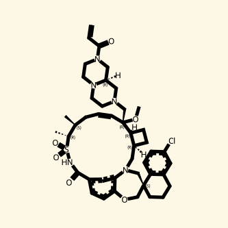 C=CC(=O)N1CCN2CCN(C[C@]3(OC)C=CC[C@H](C)[C@@H](C)S(=O)(=O)NC(=O)c4ccc5c(c4)N(C[C@@H]4CC[C@H]43)C[C@@]3(CCCc4cc(Cl)ccc43)CO5)C[C@@H]2C1